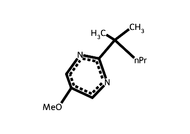 CCCC(C)(C)c1ncc(OC)cn1